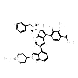 Cc1c(C(N)=O)ccc(-c2cn(S(=O)(=O)Cc3ccccc3)c3ncc(-c4cccc5nn(C6CCN(C)CC6)cc45)cc23)c1C